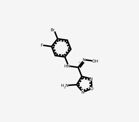 Nc1nonc1/C(=N\O)Nc1ccc(Br)c(F)c1